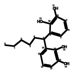 CCCCCC(c1cccc(O)c1O)c1cccc(O)c1O